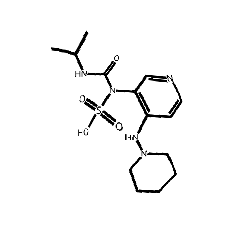 CC(C)NC(=O)N(c1cnccc1NN1CCCCC1)S(=O)(=O)O